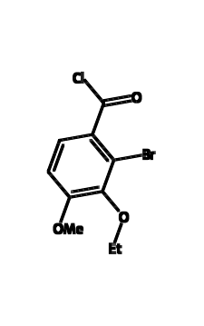 CCOc1c(OC)ccc(C(=O)Cl)c1Br